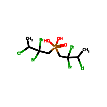 CC(Cl)C(Br)(Br)CS(=O)(O)(O)CC(Br)(Br)C(C)Cl